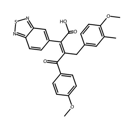 COc1ccc(C(=O)/C(Cc2ccc(OC)c(C)c2)=C(/C(=O)O)c2ccc3nsnc3c2)cc1